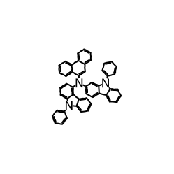 c1ccc(-n2c3ccccc3c3ccc(N(c4cc5ccccc5c5ccccc45)c4cccc5c4c4ccccc4n5-c4ccccc4)cc32)cc1